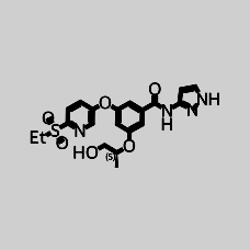 CCS(=O)(=O)c1ccc(Oc2cc(O[C@@H](C)CO)cc(C(=O)Nc3cc[nH]n3)c2)cn1